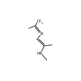 C/C(BI)=C\N=C(/C)C(F)(F)F